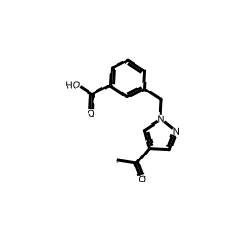 CC(=O)c1cnn(Cc2cccc(C(=O)O)c2)c1